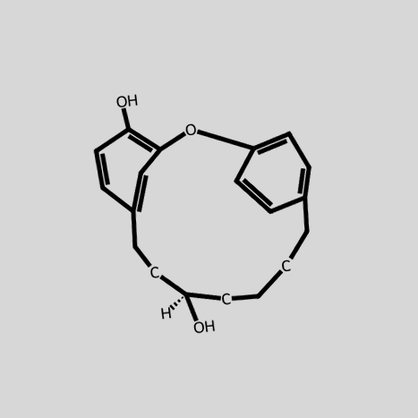 Oc1ccc2cc1Oc1ccc(cc1)CCCC[C@@H](O)CC2